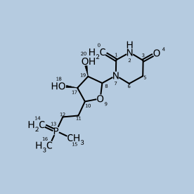 C=C1NC(=O)CCN1C1OC(CCP(=C)(C)C)[C@@H](O)[C@H]1O